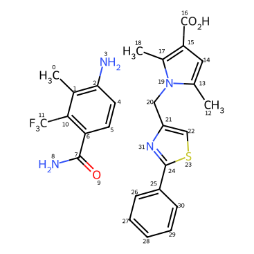 Cc1c(N)ccc(C(N)=O)c1C(F)(F)F.Cc1cc(C(=O)O)c(C)n1Cc1csc(-c2ccccc2)n1